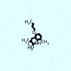 CC=CCOc1ccc(C)c2c1CC(C)(C)C(=O)N2